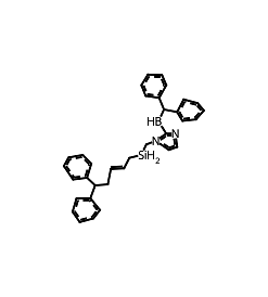 B(c1nccn1C[SiH2]CC=CCC(c1ccccc1)c1ccccc1)C(c1ccccc1)c1ccccc1